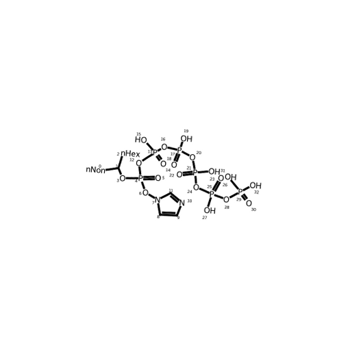 CCCCCCCCCC(CCCCCC)OP(=O)(On1ccnc1)OP(=O)(O)OP(=O)(O)OP(=O)(O)OP(=O)(O)OP(=O)(O)O